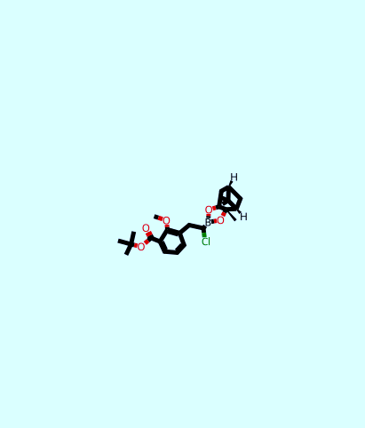 COc1c(CC(Cl)B2OC3C[C@@H]4C[C@@H](C4(C)C)[C@]3(C)O2)cccc1C(=O)OC(C)(C)C